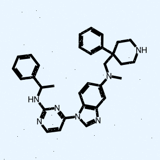 CC(Nc1nccc(-n2cnc3cc(N(C)CC4(c5ccccc5)CCNCC4)ccc32)n1)c1ccccc1